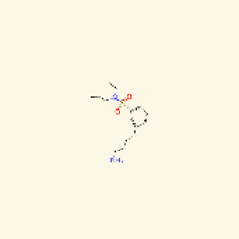 CCCN(CCC)S(=O)(=O)c1cccc(CCCCN)c1